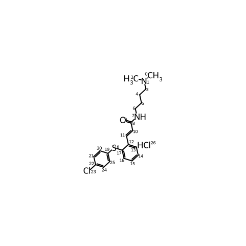 CN(C)CCCCNC(=O)/C=C/c1ccccc1Sc1ccc(Cl)cc1.Cl